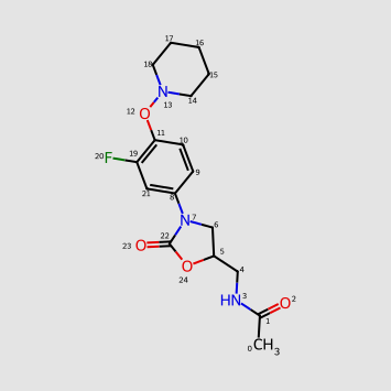 CC(=O)NCC1CN(c2ccc(ON3CCCCC3)c(F)c2)C(=O)O1